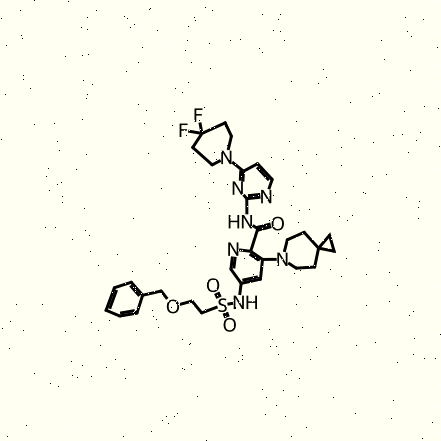 O=C(Nc1nccc(N2CCC(F)(F)CC2)n1)c1ncc(NS(=O)(=O)CCOCc2ccccc2)cc1N1CCC2(CC1)CC2